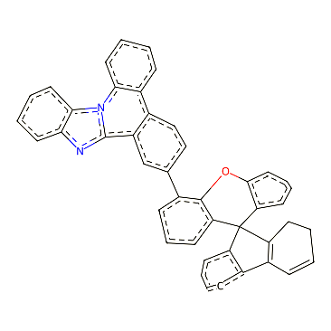 C1=CC2=C(CC1)C1(c3ccccc3Oc3c(-c4ccc5c6ccccc6n6c7ccccc7nc6c5c4)cccc31)c1ccccc12